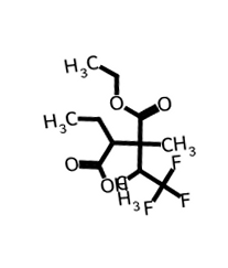 CCOC(=O)C(C)(C(CC)C(=O)O)C(C)C(F)(F)F